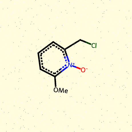 COc1cccc(CCl)[n+]1[O-]